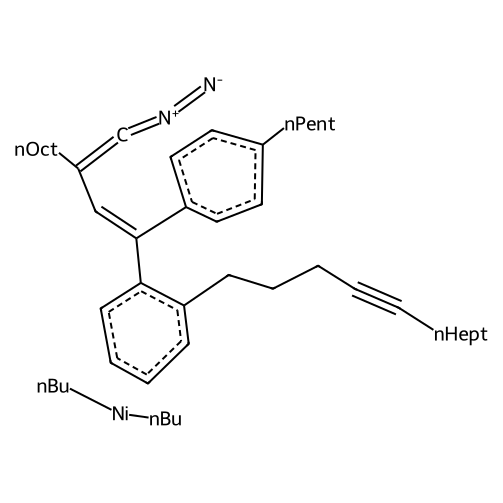 CCCCCCCC#CCCCc1ccccc1C(=CC(=C=[N+]=[N-])CCCCCCCC)c1ccc(CCCCC)cc1.CCC[CH2][Ni][CH2]CCC